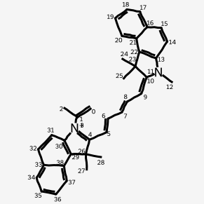 C=C(C)[N+]1=C(/C=C/C=C/C=C2/N(C)c3ccc4ccccc4c3C2(C)C)C(C)(C)c2c1ccc1ccccc21